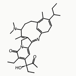 CCc1c([C@@](O)(CC)C(C)=O)cc2n(c1=O)CC1=C(/C)C(N(C)C)CCC3=C(C)C(C(C)CC)=CCC(=C3)/N=C\12